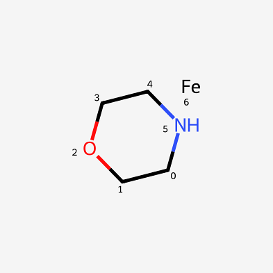 C1COCCN1.[Fe]